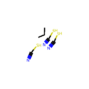 CCC.N#CS.N#CS.N#CS